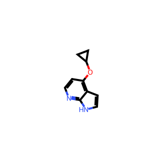 c1cc(OC2CC2)c2cc[nH]c2n1